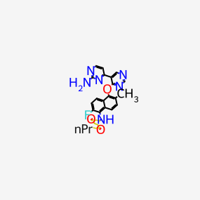 CCCS(=O)(=O)Nc1c(F)ccc2c(Oc3ncncc3-c3ccnc(N)n3)c(C)ccc12